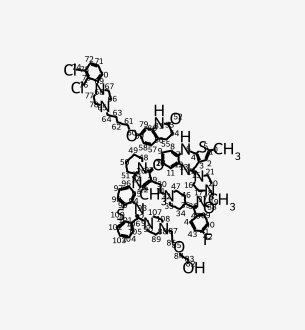 Cc1cc2c(s1)Nc1ccccc1N=C2N1CCN(C)CC1.Cc1nc2n(c(=O)c1CCN1CCC(c3noc4cc(F)ccc34)CC1)CCCC2.O=C1CCc2ccc(OCCCCN3CCN(c4cccc(Cl)c4Cl)CC3)cc2N1.OCCOCCN1CCN(C2=Nc3ccccc3Sc3ccccc32)CC1